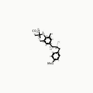 CSc1ccc(C[C@@H](C)[C@H](C)c2cc(C)c(OC(C)(C)C(=O)O)c(C)c2)cc1